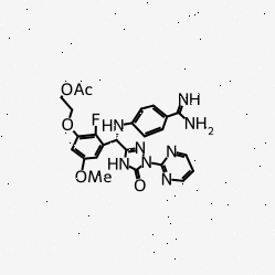 COc1cc(OCCOC(C)=O)c(F)c([C@H](Nc2ccc(C(=N)N)cc2)c2nn(-c3ncccn3)c(=O)[nH]2)c1